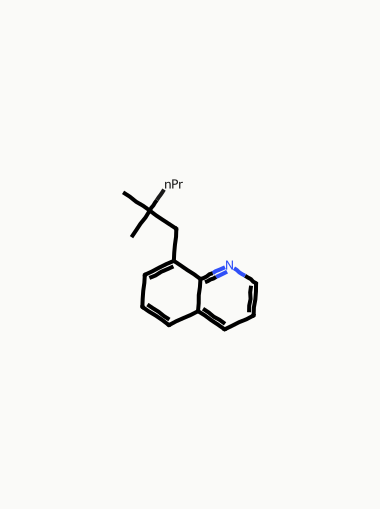 CCCC(C)(C)Cc1cccc2cccnc12